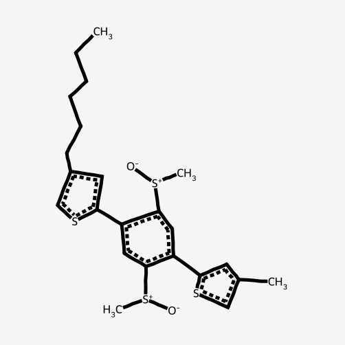 CCCCCCc1csc(-c2cc([S+](C)[O-])c(-c3cc(C)cs3)cc2[S+](C)[O-])c1